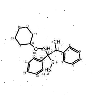 CC(c1ccccc1)C([SiH2]OC1CCCCC1)(SS)c1ccccc1